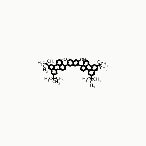 CC(C)(C)c1cc2cc(C(C)(C)C)cc3c4ccc(-c5cc6cc(-c7ccc8c9cc(C(C)(C)C)cc%10cc(C(C)(C)C)cc(c%11cccc7c%118)c%109)c(O)cc6cc5O)c5cccc(c(c1)c23)c54